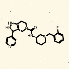 O=C(N[C@@H]1CCCN(Cc2ccccc2F)C1)N1CCC2=C(C1)C(c1ccncc1)NN2